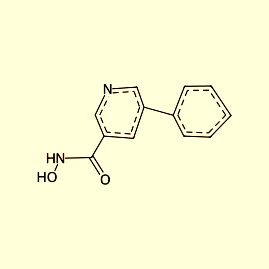 O=C(NO)c1cncc(-c2ccccc2)c1